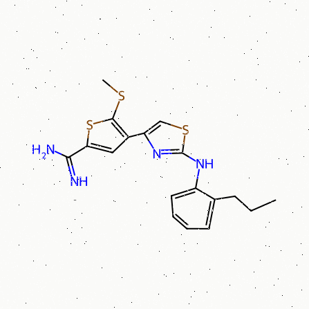 CCCc1ccccc1Nc1nc(-c2cc(C(=N)N)sc2SC)cs1